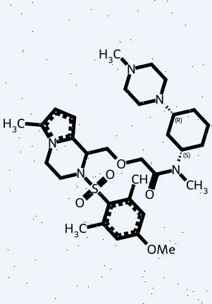 COc1cc(C)c(S(=O)(=O)N2CCn3c(C)ccc3C2COCC(=O)N(C)[C@H]2CCC[C@@H](N3CCN(C)CC3)C2)c(C)c1